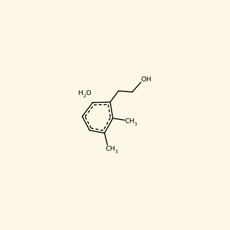 Cc1cccc(CCO)c1C.O